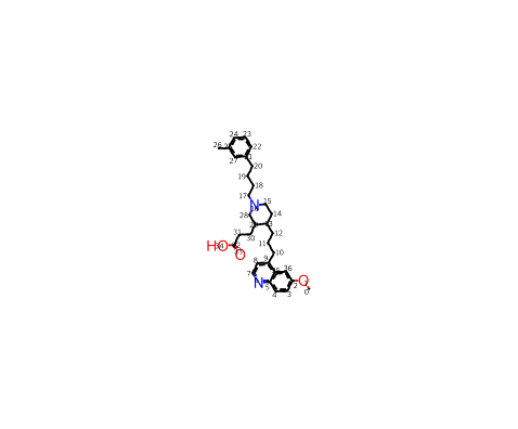 COc1ccc2nccc(CCCC3CCN(CCCCc4cccc(C)c4)CC3CCC(=O)O)c2c1